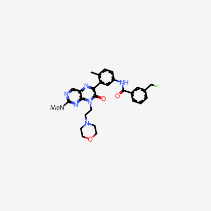 CNc1ncc2nc(-c3cc(NC(=O)c4cccc(CF)c4)ccc3C)c(=O)n(CCN3CCOCC3)c2n1